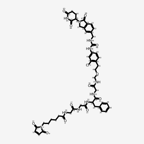 O=C(CCCCCN1C(=O)C=CC1=O)NCC(=O)NCC(=O)NC(Cc1ccccc1)C(=O)NCC(=O)NCOCCc1ccc(NC(=O)NCc2ccc3c(c2)CN(C2CCC(=O)NC2=O)C3=O)cc1Cl